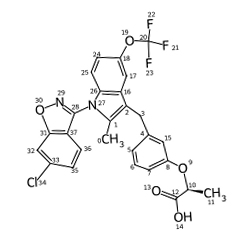 Cc1c(Cc2cccc(O[C@@H](C)C(=O)O)c2)c2cc(OC(F)(F)F)ccc2n1-c1noc2cc(Cl)ccc12